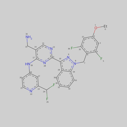 CCOc1cc(F)c(Cn2nc(-c3ncc(CN)c(Nc4ccnc(C(F)F)c4)n3)c3ccccc32)c(F)c1